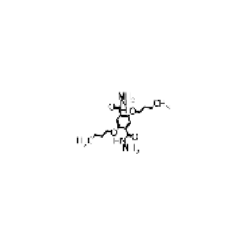 CCCCOc1cc(C(=O)NN)c(OCCCC)cc1C(=O)NN